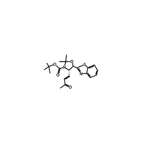 CC(=O)/C=C/[C@H]1C(c2nc3ccccc3s2)OC(C)(C)N1C(=O)OC(C)(C)C